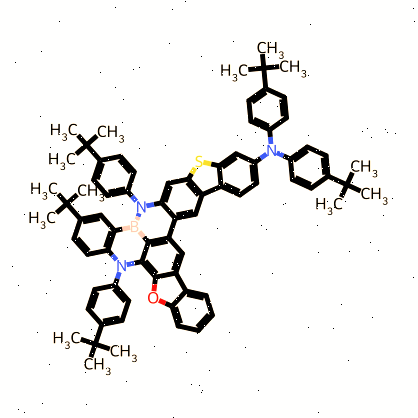 CC(C)(C)c1ccc(N2B3c4cc(C(C)(C)C)ccc4N(c4ccc(C(C)(C)C)cc4)c4c3c(cc3c4oc4ccccc43)-c3cc4c(cc32)sc2cc(N(c3ccc(C(C)(C)C)cc3)c3ccc(C(C)(C)C)cc3)ccc24)cc1